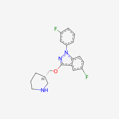 Fc1cccc(-n2nc(OC[C@H]3CCCNC3)c3cc(F)ccc32)c1